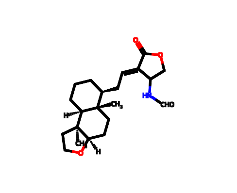 C[C@@]12CC[C@H]3OCC[C@@]3(C)[C@H]1CCC[C@H]2C/C=C1/C(=O)OCC1NC=O